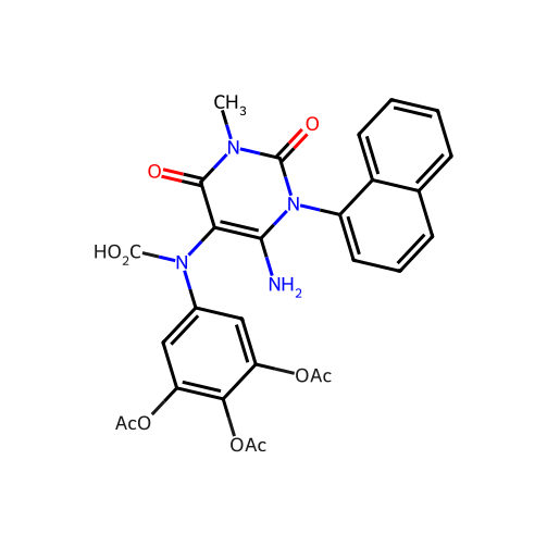 CC(=O)Oc1cc(N(C(=O)O)c2c(N)n(-c3cccc4ccccc34)c(=O)n(C)c2=O)cc(OC(C)=O)c1OC(C)=O